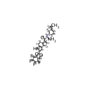 CN1CCc2c(/C=C(\N)C(=O)N3CCc4c3ccc3[nH]c(C(=O)Oc5c(F)c(F)c(F)c(F)c5F)cc43)cccc21